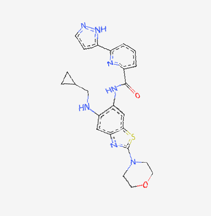 O=C(Nc1cc2sc(N3CCOCC3)nc2cc1NCC1CC1)c1cccc(-c2ccn[nH]2)n1